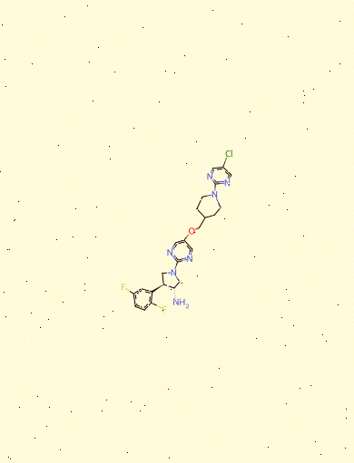 N[C@H]1CN(c2ncc(OCC3CCN(c4ncc(Cl)cn4)CC3)cn2)C[C@@H]1c1cc(F)ccc1F